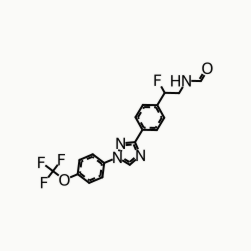 O=CNCC(F)c1ccc(-c2ncn(-c3ccc(OC(F)(F)F)cc3)n2)cc1